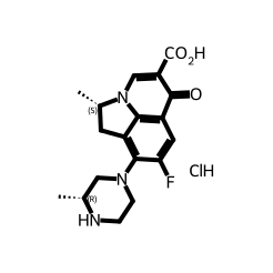 C[C@@H]1CN(c2c(F)cc3c(=O)c(C(=O)O)cn4c3c2C[C@@H]4C)CCN1.Cl